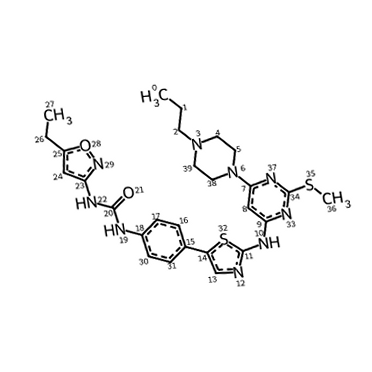 CCCN1CCN(c2cc(Nc3ncc(-c4ccc(NC(=O)Nc5cc(CC)on5)cc4)s3)nc(SC)n2)CC1